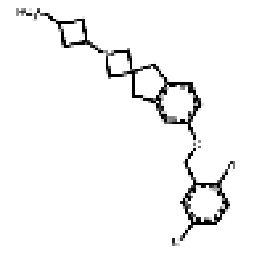 O=C(O)C1CC(N2CC3(Cc4ccc(OCc5cc(Cl)ccc5Cl)cc4C3)C2)C1